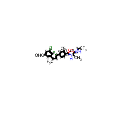 CC(NC(=O)c1ccc(/C(F)=C/C(c2cc(Cl)cc(C=O)c2)C(F)(F)F)cc1C(F)(F)F)C(=O)NCC(F)(F)F